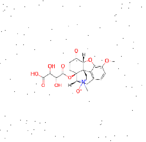 COc1ccc2c3c1O[C@H]1C(=O)C=C[C@@]4(OC(=O)C(O)C(O)C(=O)O)[C@@H](C2)[N+](C)([O-])CC[C@]314